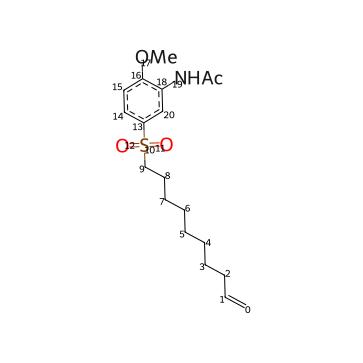 C=CCCCCCCCCS(=O)(=O)c1ccc(OC)c(NC(C)=O)c1